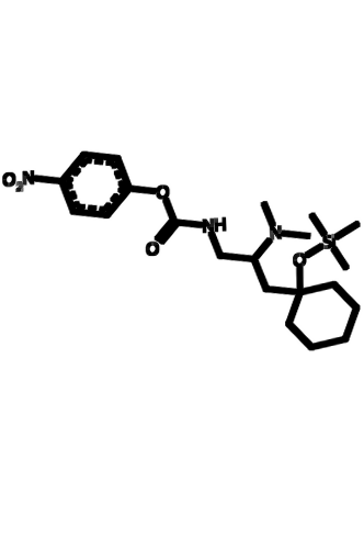 CN(C)C(CNC(=O)Oc1ccc([N+](=O)[O-])cc1)CC1(O[Si](C)(C)C)CCCCC1